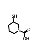 O=C(O)N1CCCC(S)C1